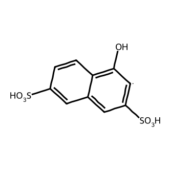 O=S(=O)(O)c1[c]c(O)c2ccc(S(=O)(=O)O)cc2c1